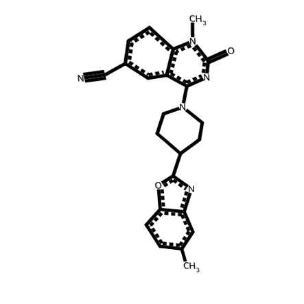 Cc1ccc2oc(C3CCN(c4nc(=O)n(C)c5ccc(C#N)cc45)CC3)nc2c1